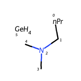 [CH2]CCCN(C)C.[GeH4]